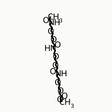 COC(=O)COCCOCCNC(=O)COCCOCCNC(=O)COCCOCCNC(C)=O